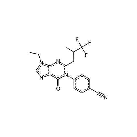 CCn1cnc2c(=O)n(-c3ccc(C#N)cc3)c(CC(C)C(F)(F)F)nc21